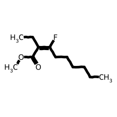 CCCCCCC(F)=C(CC)C(=O)OC